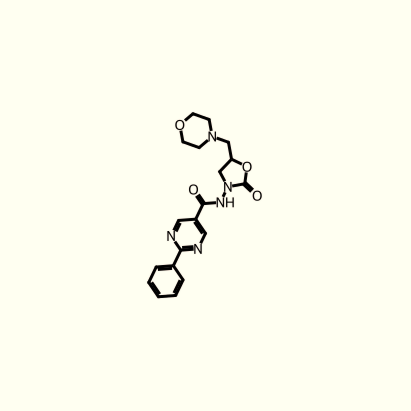 O=C(NN1CC(CN2CCOCC2)OC1=O)c1cnc(-c2ccccc2)nc1